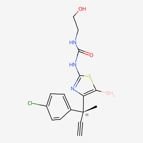 Bc1sc(NC(=O)NCCO)nc1[C@](C)(C#C)c1ccc(Cl)cc1